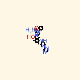 Cc1cc(C)c(C(O)N2CCN(c3ccccc3)[C@@H](C(N)=O)C2)c(C)c1NC1CCN(c2cnccn2)CC1